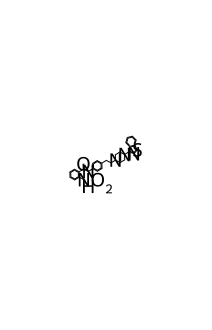 O=C(Nc1ccc(CCN2CCN(c3nsc4ccccc34)CC2)cc1)c1ccccc1[N+](=O)[O-]